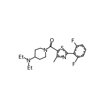 CCN(CC)C1CCN(C(=O)c2sc(-c3c(F)cccc3F)nc2C)CC1